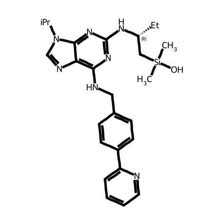 CC[C@H](C[Si](C)(C)O)Nc1nc(NCc2ccc(-c3ccccn3)cc2)c2ncn(C(C)C)c2n1